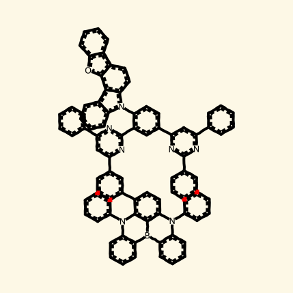 c1ccc(-c2cc(-c3ccc(-n4c5ccccc5c5c6oc7ccccc7c6ccc54)c(-c4nc(-c5ccccc5)cc(-c5cccc(-c6ccc7c8c6N(c6ccccc6)c6ccccc6B8c6ccccc6N7c6ccccc6)c5)n4)c3)nc(-c3ccccc3)n2)cc1